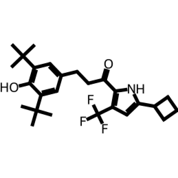 CC(C)(C)c1cc(CCC(=O)c2[nH]c(C3CCC3)cc2C(F)(F)F)cc(C(C)(C)C)c1O